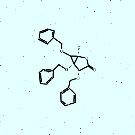 O=C1O[C@@H]2C(OCc3ccccc3)[C@]2(OCc2ccccc2)[C@H]1OCc1ccccc1